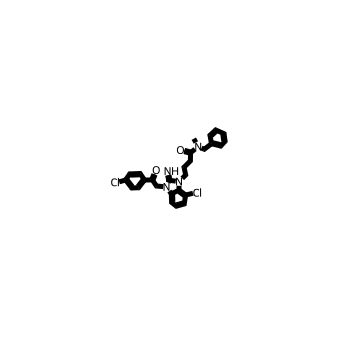 CN(Cc1ccccc1)C(=O)CCCn1c(=N)n(CC(=O)c2ccc(Cl)cc2)c2cccc(Cl)c21